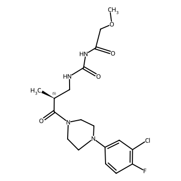 COCC(=O)NC(=O)NC[C@H](C)C(=O)N1CCN(c2ccc(F)c(Cl)c2)CC1